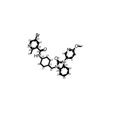 COc1ccc(-n2c(=O)n(CC3CCC(NC(=O)c4cc(Br)cnc4C)CC3)c3ccccc32)cn1